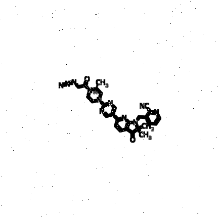 C[C@@H]1CN(c2ncc(-c3ccc4c(n3)N(Cc3cccnc3C#N)C(C)(C)C4=O)cn2)CCN1C(=O)CN=[N+]=[N-]